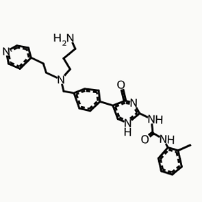 Cc1ccccc1NC(=O)Nc1nc(=O)c(-c2ccc(CN(CCCN)CCc3ccncc3)cc2)c[nH]1